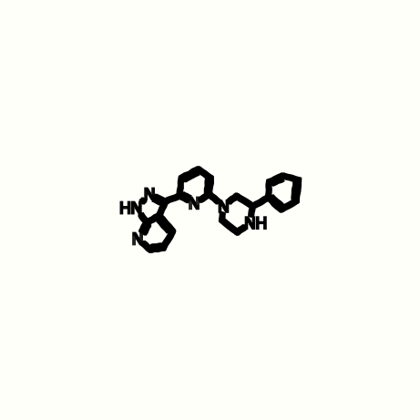 c1ccc(C2CN(c3cccc(-c4n[nH]c5ncccc45)n3)CCN2)cc1